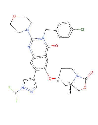 O=C1OC[C@@H]2C[C@@H](Oc3cc4c(=O)n(Cc5ccc(Cl)cc5)c(N5CCOCC5)nc4cc3-c3cnn(C(F)F)c3)CCN12